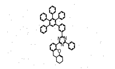 C1=C2Oc3c(cccc3-c3nc(-c4ccccc4)nc(-c4cccc(-c5cc(-c6ccccc6)c(-c6ccccc6)c(-c6ccccc6)c5-c5ccccc5)c4)n3)CC2CCC1